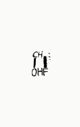 CO.[C]F